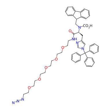 [N-]=[N+]=NCCOCCOCCOCCOCCOCCNC(=O)[C@H](Cc1cn(C(c2ccccc2)(c2ccccc2)c2ccccc2)cn1)N(CC1c2ccccc2-c2ccccc21)C(=O)O